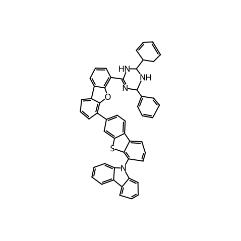 C1=CCC(C2NC(c3cccc4c3oc3c(-c5ccc6c(c5)sc5c(-n7c8ccccc8c8ccccc87)cccc56)cccc34)=NC(c3ccccc3)N2)C=C1